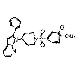 COc1ccc(S(=O)(=O)N2CCC(n3c(-c4ccccc4)cc4cccnc43)CC2)cc1Cl